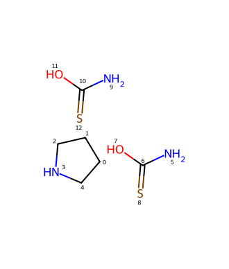 C1CCNC1.NC(O)=S.NC(O)=S